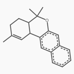 CC1=CC2c3cc4ccccc4cc3OC(C)(C)C2CC1